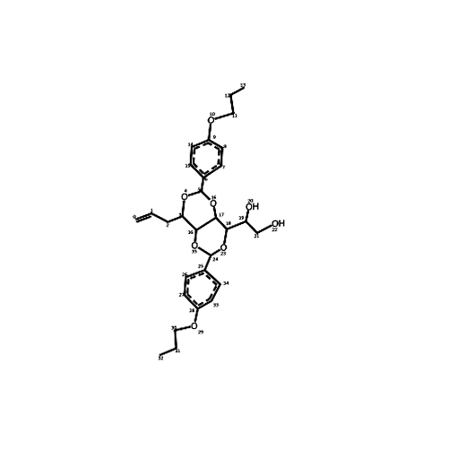 C=CCC1OC(c2ccc(OCCC)cc2)OC2C(C(O)CO)OC(c3ccc(OCCC)cc3)OC12